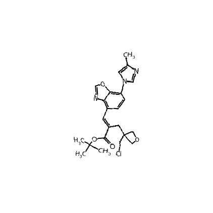 Cc1cn(-c2ccc(/C=C(\CC3(CCl)COC3)C(=O)OC(C)(C)C)c3ncoc23)cn1